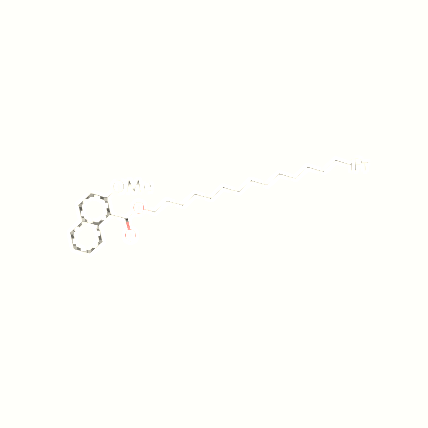 COc1ccc2ccccc2c1C(=O)OCCCCCCCCCCCCCCC(C)C